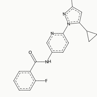 O=C(Nc1ccc(-n2nc(C(F)(F)F)cc2C2CC2)nc1)c1ccccc1F